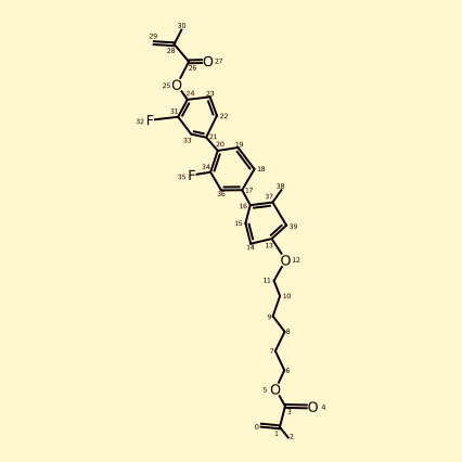 C=C(C)C(=O)OCCCCCCOc1ccc(-c2ccc(-c3ccc(OC(=O)C(=C)C)c(F)c3)c(F)c2)c(C)c1